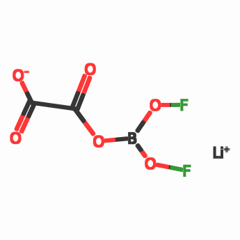 O=C([O-])C(=O)OB(OF)OF.[Li+]